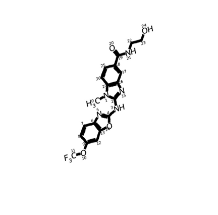 Cn1c(Nc2nc3ccc(OC(F)(F)F)cc3o2)nc2cc(C(=O)NCCO)ccc21